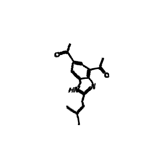 CC(=O)c1cc(C(C)=O)c2nc(CC(C)C)[nH]c2c1